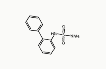 CNS(=O)(=O)Nc1ccccc1-c1ccccc1